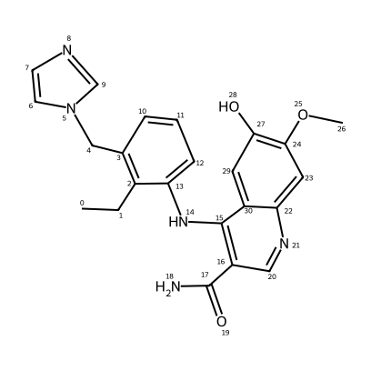 CCc1c(Cn2ccnc2)cccc1Nc1c(C(N)=O)cnc2cc(OC)c(O)cc12